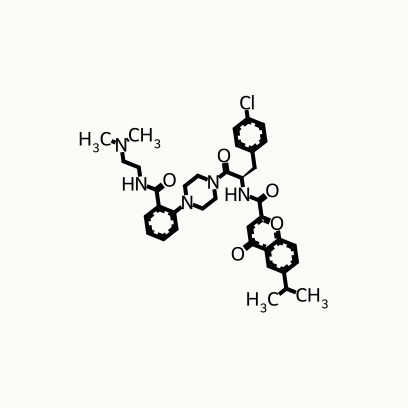 CC(C)c1ccc2oc(C(=O)N[C@H](Cc3ccc(Cl)cc3)C(=O)N3CCN(c4ccccc4C(=O)NCCN(C)C)CC3)cc(=O)c2c1